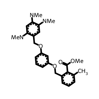 CNc1cc(NC)c(NC)cc1COc1cccc(OCc2cccc(C)c2C(=O)OC)c1